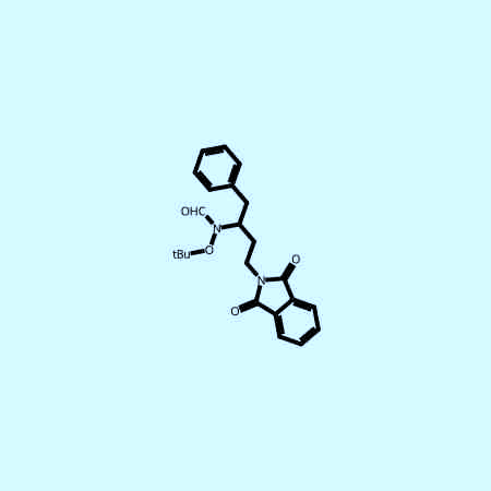 CC(C)(C)ON(C=O)C(CCN1C(=O)c2ccccc2C1=O)Cc1ccccc1